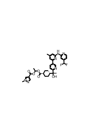 Cc1cc(Nc2cc(C(F)F)ccn2)nc(-c2ccc([C@](C)(O)[C@H]3CC[C@H](C(=O)OC(C)OC(=O)c4cnn(C)c4)CC3)nc2)c1